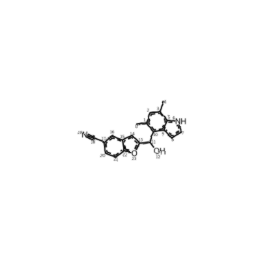 Cc1cc(C)c2[nH]ccc2c1C(O)c1cc2cc(C#N)ccc2o1